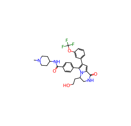 CN1CCC(NC(=O)c2ccc(-c3c(-c4cccc(OC(F)(F)F)c4)cc4n3C(CCO)CNC4=O)cc2)CC1